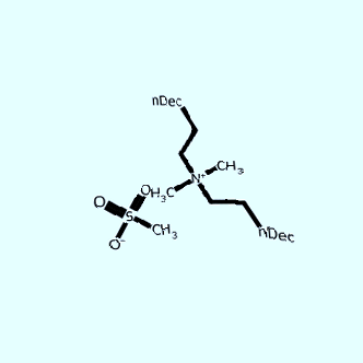 CCCCCCCCCCCC[N+](C)(C)CCCCCCCCCCCC.CS(=O)(=O)[O-]